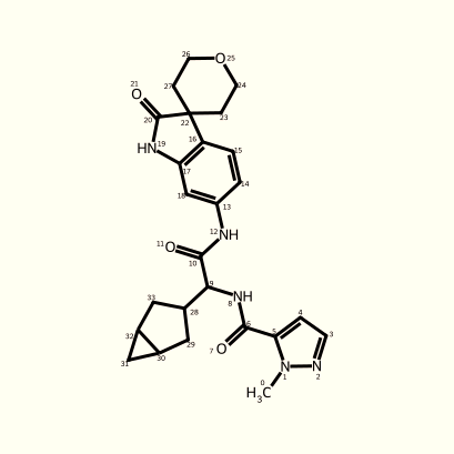 Cn1nccc1C(=O)NC(C(=O)Nc1ccc2c(c1)NC(=O)C21CCOCC1)C1CC2CC2C1